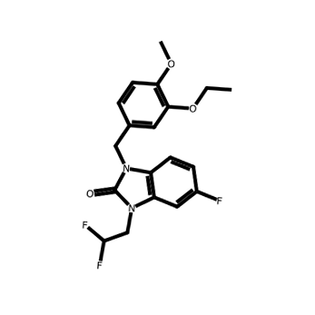 CCOc1cc(Cn2c(=O)n(CC(F)F)c3cc(F)ccc32)ccc1OC